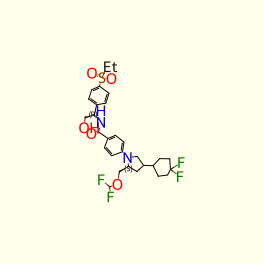 CCS(=O)(=O)c1ccc([C@H](CO)NC(=O)c2ccc(N3CC(C4CCC(F)(F)CC4)C[C@H]3COC(F)F)cc2)cc1